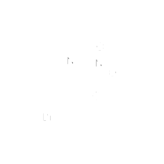 COc1c(CBr)ccnc1[N+](=O)[O-]